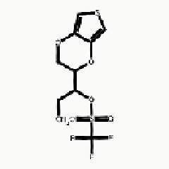 CCC(OS(=O)(=O)C(F)(F)F)C1COc2cscc2O1